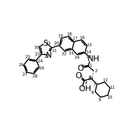 O=C(C[C@@H](C(=O)O)C1CCCCC1)Nc1ccc2ccc(-c3nc(-c4ccccc4)cs3)cc2c1